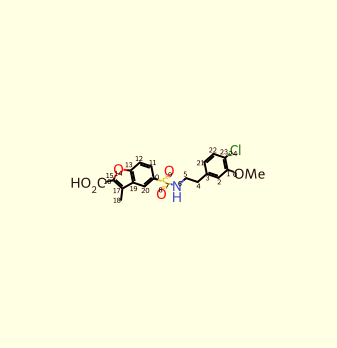 COc1cc(CCNS(=O)(=O)c2ccc3oc(C(=O)O)c(C)c3c2)ccc1Cl